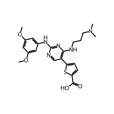 COc1cc(Nc2ncc(-c3ccc(C(=O)O)s3)c(NCCCN(C)C)n2)cc(OC)c1